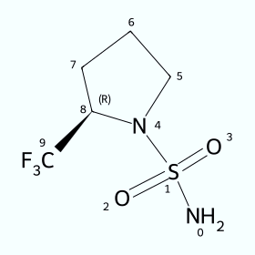 NS(=O)(=O)N1CCC[C@@H]1C(F)(F)F